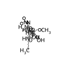 CCCCCCCC(=O)NCCCC[C@@H](NC(=O)[C@@H](N)Cc1cn(C(c2ccccc2)c2ccccc2)cn1)C(=O)NN(C(=O)CCc1ccc(C)cc1)[C@@H](Cc1ccc(O)cc1)C(=O)O